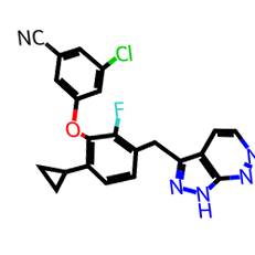 N#Cc1cc(Cl)cc(Oc2c(C3CC3)ccc(Cc3n[nH]c4nnccc34)c2F)c1